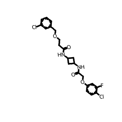 O=C(CCOCc1cccc(Cl)c1)NC1CC(NC(=O)COc2ccc(Cl)c(F)c2)C1